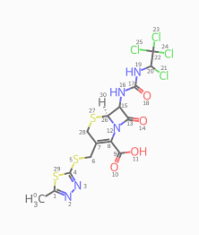 Cc1nnc(SCC2=C(C(=O)O)N3C(=O)C(NC(=O)NC(Cl)C(Cl)(Cl)Cl)[C@@H]3SC2)s1